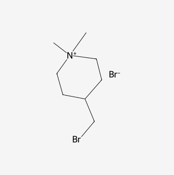 C[N+]1(C)CCC(CBr)CC1.[Br-]